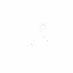 C=CC(=O)OCCC[N+](CC)(CCC)Cc1ccccc1.[I-]